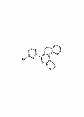 Brc1ccnc(-c2nc3ccccc3c3c2ccc2ccccc23)c1